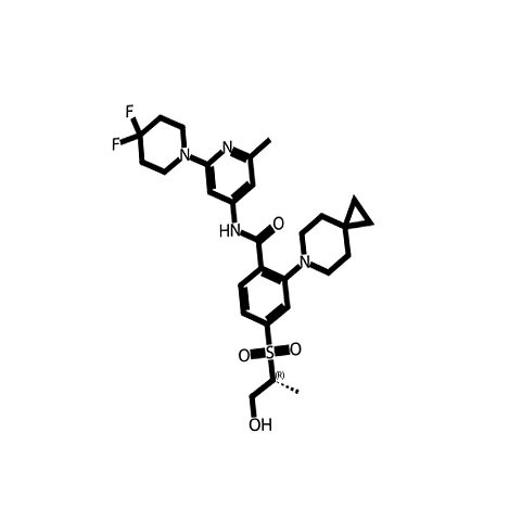 Cc1cc(NC(=O)c2ccc(S(=O)(=O)[C@H](C)CO)cc2N2CCC3(CC2)CC3)cc(N2CCC(F)(F)CC2)n1